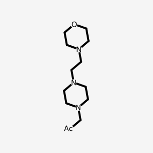 CC(=O)CN1CCN(CCN2CCOCC2)CC1